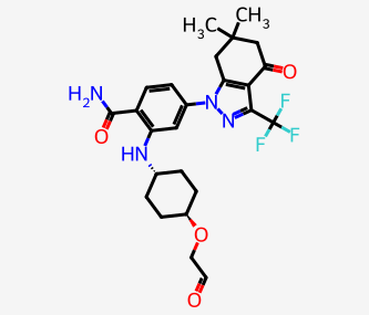 CC1(C)CC(=O)c2c(C(F)(F)F)nn(-c3ccc(C(N)=O)c(N[C@H]4CC[C@H](OCC=O)CC4)c3)c2C1